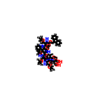 CC(C)[C@H](NC(=O)[C@H](CC(=O)OC(C)(C)C)NC(=O)[C@H](COC(C)(C)C)NC(=O)[C@@H](NC(=O)[C@H](Cc1ccccc1)NC(=O)[C@@H](NC(=O)OCC1c2ccccc2-c2ccccc21)[C@@H](C)OC(C)(C)C)[C@@H](C)OC(C)(C)C)C(=O)N[C@@H](CO)C(=O)O